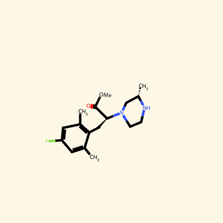 COC(=O)[C@H](Cc1c(C)cc(F)cc1C)N1CCN[C@@H](C)C1